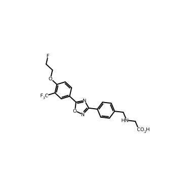 O=C(O)CNCc1ccc(-c2noc(-c3ccc(OCCF)c(C(F)(F)F)c3)n2)cc1